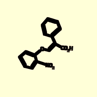 O=C(O)C(=COc1ccccc1[N+](=O)[O-])c1ccccc1